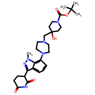 Cn1nc(C2CCC(=O)NC2=O)c2cccc(N3CCN(CC4(O)CCN(C(=O)OC(C)(C)C)CC4)CC3)c21